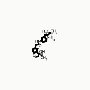 COC1(O)CCOc2ccc(CC(=O)Nc3ccc4[nH]c(C(C)(C)C)cc4c3)cc21